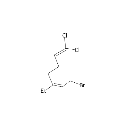 CCC(=CCBr)CCC=C(Cl)Cl